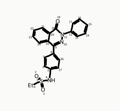 CCS(=O)(=O)Nc1ccc(-c2nn(-c3ccccc3)c(=O)c3ccccc23)cc1